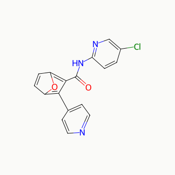 O=C(Nc1ccc(Cl)cn1)c1c(-c2ccncc2)c2ccc1o2